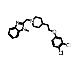 Cn1c(CN2CCC(CCOc3ccc(Cl)c(Cl)c3)CC2)nc2ccccc21